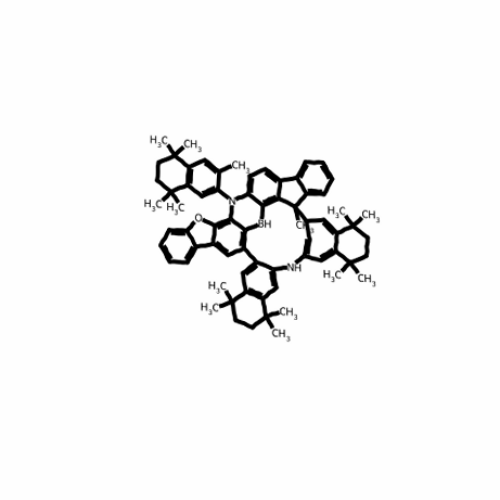 Cc1cc2c(cc1N1c3ccc4c5c3Bc3c(cc6c(oc7ccccc76)c31)-c1cc3c(cc1NC1=CC(C=C6C(=C1)C(C)(C)CCC6(C)C)C5(C)c1ccccc1-4)C(C)(C)CCC3(C)C)C(C)(C)CCC2(C)C